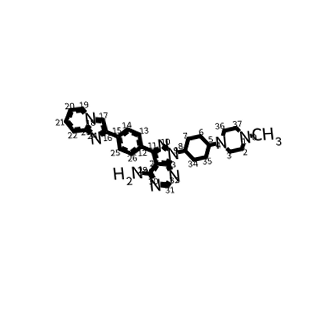 CN1CCN(C2CCC(n3nc(-c4ccc(-c5cn6ccccc6n5)cc4)c4c(N)ncnc43)CC2)CC1